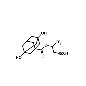 O=C(OC(CS(=O)(=O)O)C(F)(F)F)C12CC3CC(O)(CC(O)(C3)C1)C2